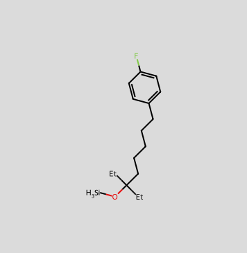 CCC(CC)(CCCCCc1ccc(F)cc1)O[SiH3]